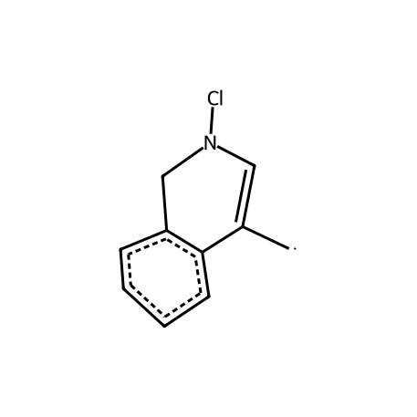 [CH2]C1=CN(Cl)Cc2ccccc21